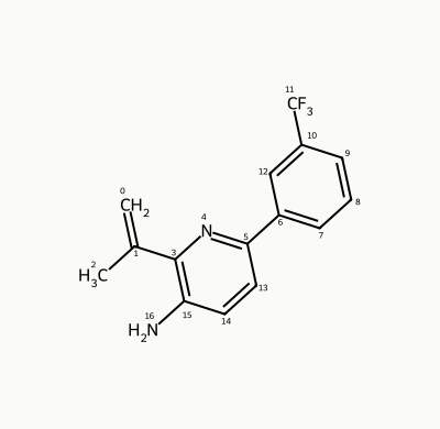 C=C(C)c1nc(-c2cccc(C(F)(F)F)c2)ccc1N